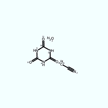 CC#N.O.O=c1[nH]c(=O)[nH]c(=O)[nH]1